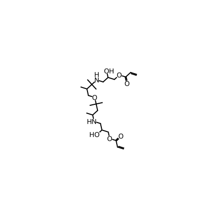 C=CC(=O)OCC(O)CNC(C)CC(C)(C)OCC(C)C(C)(C)NCC(O)COC(=O)C=C